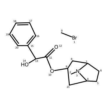 CBr.CN1C2CCC1CC(OC(=O)C(O)c1ccccc1)C2